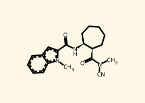 CN(C#N)C(=O)[C@@H]1CCCCC[C@@H]1NC(=O)c1cc2ccccc2n1C